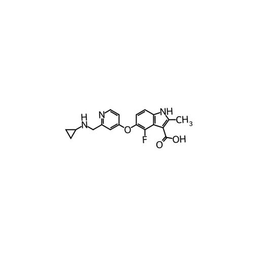 Cc1[nH]c2ccc(Oc3ccnc(CNC4CC4)c3)c(F)c2c1C(=O)O